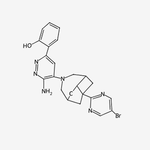 Nc1nnc(-c2ccccc2O)cc1N1CC2CC3C(C1)CC3(c1ncc(Br)cn1)C2